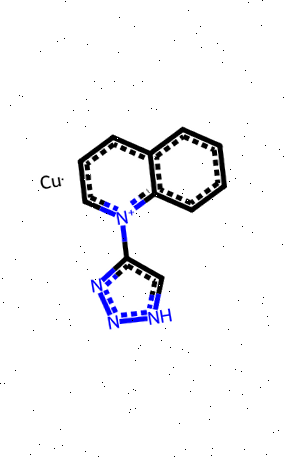 [Cu].c1ccc2c(c1)ccc[n+]2-c1c[nH]nn1